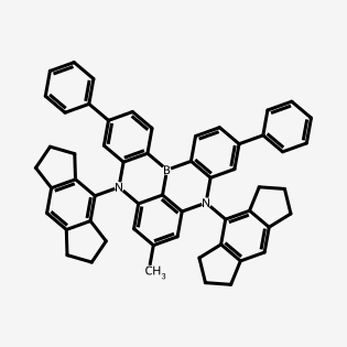 Cc1cc2c3c(c1)N(c1c4c(cc5c1CCC5)CCC4)c1cc(-c4ccccc4)ccc1B3c1ccc(-c3ccccc3)cc1N2c1c2c(cc3c1CCC3)CCC2